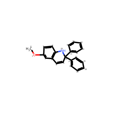 COc1ccc2c(c1)C=CC(c1ccccc1)(c1ccccc1)N2